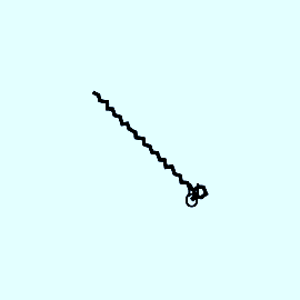 CCCCCCCCCCCCCCCCCCCCCCCCCCCN1CCCCC1=O